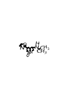 CC(C)Nc1cnc2c(c1)cc(-c1ncco1)c[n+]2[O-]